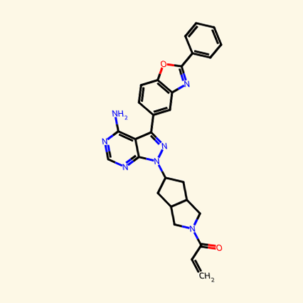 C=CC(=O)N1CC2CC(n3nc(-c4ccc5oc(-c6ccccc6)nc5c4)c4c(N)ncnc43)CC2C1